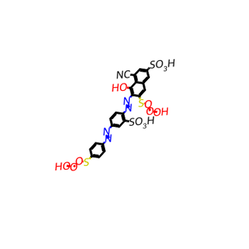 N#Cc1cc(S(=O)(=O)O)cc2cc(SOOO)c(/N=N/c3ccc(/N=N/c4ccc(SOOO)cc4)cc3S(=O)(=O)O)c(O)c12